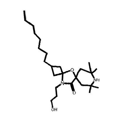 CCCCCCCCC1CC2(C1)OC1(CC(C)(C)NC(C)(C)C1)C(=O)N2CCCO